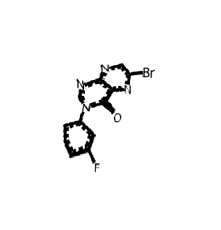 O=c1c2nc(Br)cnc2ncn1-c1cccc(F)c1